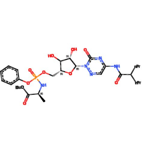 CCCC(CCC)C(=O)Nc1cnn([C@@H]2O[C@H](COP(=O)(N[C@@H](C)C(=O)OCC(C)C)Oc3ccccc3)C(O)[C@@H]2O)c(=O)n1